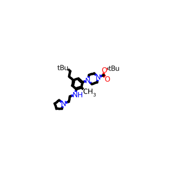 Cc1c(NCCN2CCCC2)cc(CCC(C)(C)C)cc1N1CCN(C(=O)OC(C)(C)C)CC1